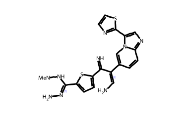 CNN/C(=N\N)c1ccc(C(=N)/C(=C\N)c2ccc3ncc(-c4nccs4)n3c2)s1